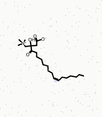 CCCCCC/C=C\CCCCCCCC(=O)C(O)(CC(=O)[O-])C[N+](C)(C)C